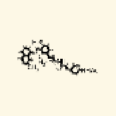 CC(=O)Nc1ccc(C=CC(=O)NCC=C(C)c2ccc(C)c(COc3cccc4ccc(C)nc34)c2C)cn1